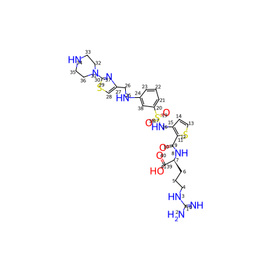 N=C(N)NCCC[C@H](NC(=O)c1sccc1NS(=O)(=O)c1cccc(NCc2csc(N3CCNCC3)n2)c1)C(=O)O